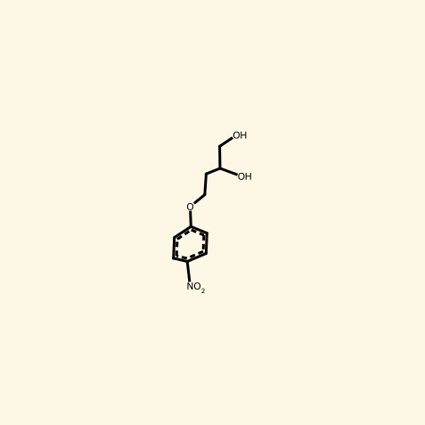 O=[N+]([O-])c1ccc(OCCC(O)CO)cc1